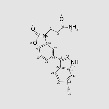 NC(=O)CCn1c(=O)oc2ccc(-c3c[nH]c4cc(F)ccc34)cc21